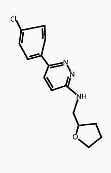 Clc1ccc(-c2ccc(NCC3CCCO3)nn2)cc1